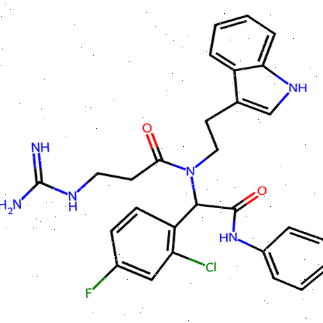 N=C(N)NCCC(=O)N(CCc1c[nH]c2ccccc12)C(C(=O)Nc1ccccc1)c1ccc(F)cc1Cl